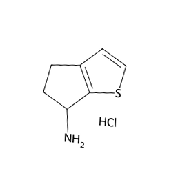 Cl.NC1CCc2ccsc21